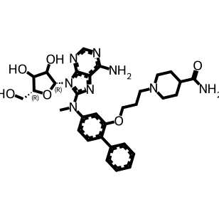 CN(c1ccc(-c2ccccc2)c(OCCCN2CCC(C(N)=O)CC2)c1)c1nc2c(N)ncnc2n1[C@@H]1O[C@H](CO)C(O)C1O